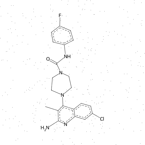 Cc1c(N)nc2cc(Cl)ccc2c1N1CCN(C(=O)Nc2ccc(F)cc2)CC1